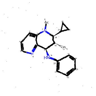 CC(=O)N1c2cccnc2[C@H](Nc2ccccc2)[C@@H](C)[C@@H]1C1CC1